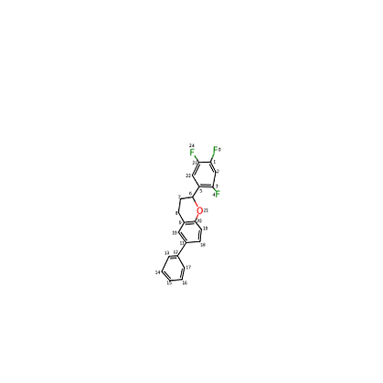 Fc1cc(F)c(C2CCc3cc(-c4ccccc4)ccc3O2)cc1F